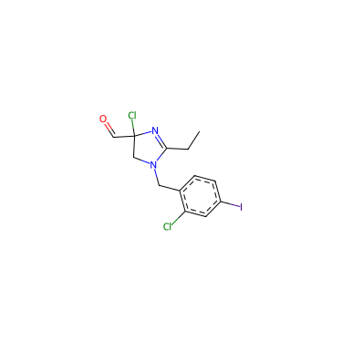 CCC1=NC(Cl)(C=O)CN1Cc1ccc(I)cc1Cl